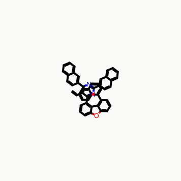 C=Cc1c(-c2ccc3ccccc3c2)nc(-c2ccc3ccccc3c2)nc1-c1cccc2oc3cccc(-c4cccc5ccccc45)c3c12